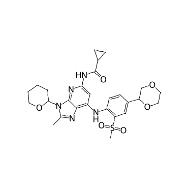 Cc1nc2c(Nc3ccc(C4COCCO4)cc3S(C)(=O)=O)cc(NC(=O)C3CC3)nc2n1C1CCCCO1